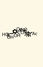 CC(=O)Cc1cn(CC(=O)N2CC(Oc3ccc(CCB(O)O)c(O)c3C(=O)O)C2)nn1